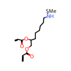 C=CC(=O)OCC(CCCCCCNSC)OC(=O)C=C